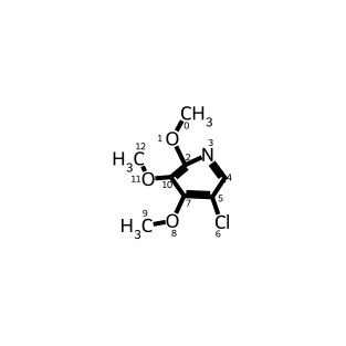 COc1n[c]c(Cl)c(OC)c1OC